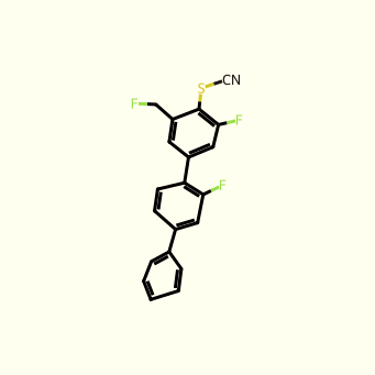 N#CSc1c(F)cc(-c2ccc(-c3ccccc3)cc2F)cc1CF